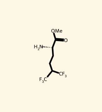 COC(=O)[C@@H](N)CCC(C(F)(F)F)C(F)(F)F